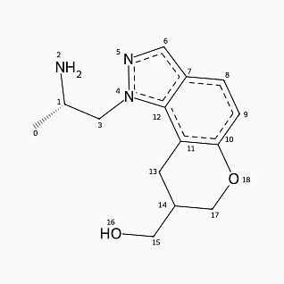 C[C@H](N)Cn1ncc2ccc3c(c21)CC(CO)CO3